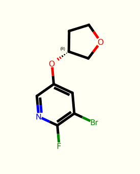 Fc1ncc(O[C@@H]2CCOC2)cc1Br